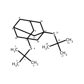 CC(C)(C)SC12CC3CC(C1)CC(SC(C)(C)C)(C3)C2